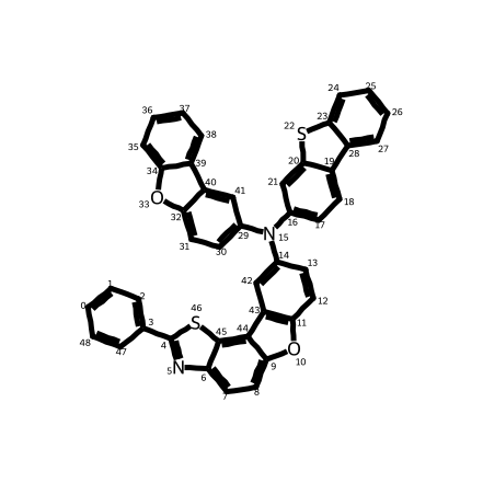 c1ccc(-c2nc3ccc4oc5ccc(N(c6ccc7c(c6)sc6ccccc67)c6ccc7oc8ccccc8c7c6)cc5c4c3s2)cc1